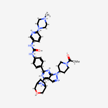 COC(=O)N1CCC(n2ncc3c(N4C5CCC4COC5)nc(-c4ccc(NC(=O)Nc5ccc(N6CCN(C)CC6)nc5)cc4)nc32)CC1